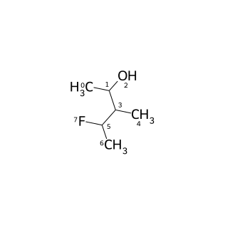 CC(O)C(C)C(C)F